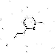 CCSc1cccc(C)n1